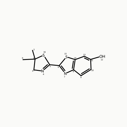 CC1(C)[C]N=C(c2nc3ccc(O)cc3s2)S1